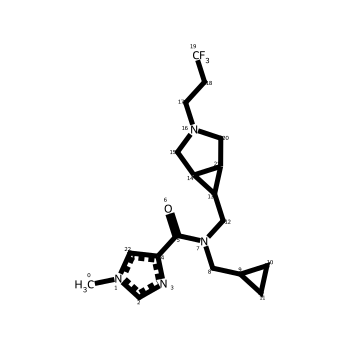 Cn1cnc(C(=O)N(CC2CC2)CC2C3CN(CCC(F)(F)F)CC32)c1